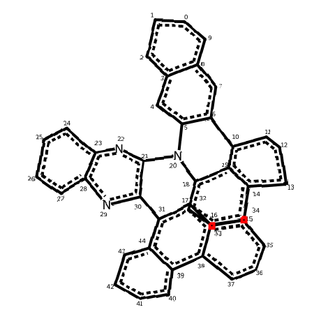 c1ccc2cc3c(cc2c1)-c1cccc2cccc(c12)N3c1nc2ccccc2nc1-c1cc2ccccc2c2ccccc12